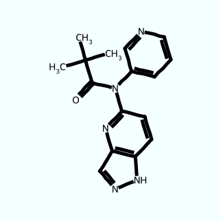 CC(C)(C)C(=O)N(c1cccnc1)c1ccc2[nH]ncc2n1